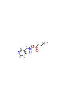 CC(C)CCC(=O)ONCc1cccnc1